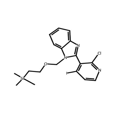 C[Si](C)(C)CCOCn1c(-c2c(I)ccnc2Cl)nc2ccccc21